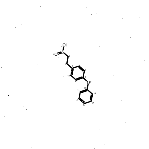 O=S(O)CCc1ccc(Oc2ccccc2)cc1